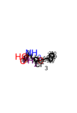 NC(CO)(CCc1ccc(OCCCc2cccc3ccccc23)c(C(F)(F)F)c1)CO[PH2]=O